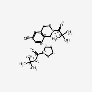 CC(C)(C)OC(=O)N1CCC[C@H]1c1cc(Cl)cc2c1CN(C(=O)C(C)(C)O)CC2